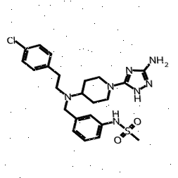 CS(=O)(=O)Nc1cccc(CN(CCc2ccc(Cl)cc2)C2CCN(c3nc(N)n[nH]3)CC2)c1